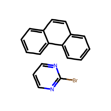 Brc1ncccn1.c1ccc2c(c1)ccc1ccccc12